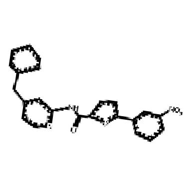 O=C(Nc1cc(Cc2ccccc2)ccn1)c1ccc(-c2cccc([N+](=O)[O-])c2)o1